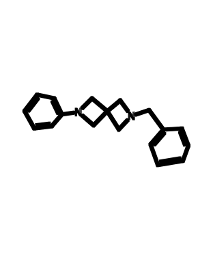 c1ccc(CN2CC3(C2)CN(c2ccccc2)C3)cc1